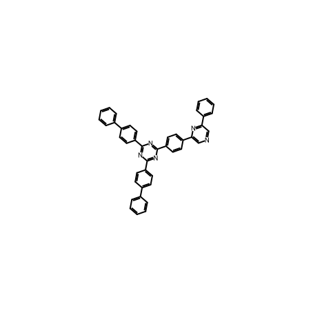 c1ccc(-c2ccc(-c3nc(-c4ccc(-c5ccccc5)cc4)nc(-c4ccc(-c5cncc(-c6ccccc6)n5)cc4)n3)cc2)cc1